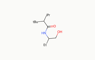 CCC(CO)NC(=O)C(C(C)C)C(C)(C)C